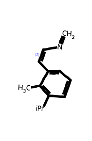 C=N/C=C\c1cccc(C(C)C)c1C